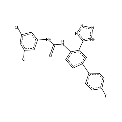 O=C(Nc1cc(Cl)cc(Cl)c1)Nc1ccc(-c2ccc(F)cc2)cc1-c1nnn[nH]1